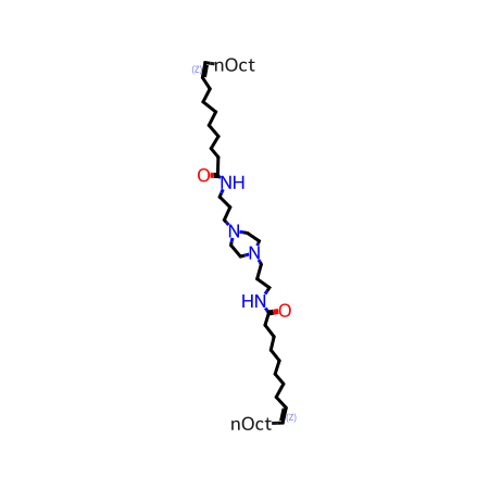 CCCCCCCC/C=C\CCCCCCCC(=O)NCCCN1CCN(CCCNC(=O)CCCCCCC/C=C\CCCCCCCC)CC1